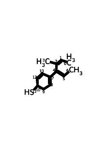 C/C=C(C)\C(=C/C)C1=CCC(S)C=C1